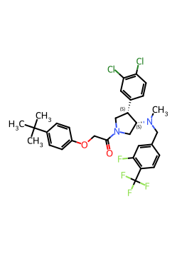 CN(Cc1ccc(C(F)(F)F)c(F)c1)[C@@H]1CN(C(=O)COc2ccc(C(C)(C)C)cc2)C[C@@H]1c1ccc(Cl)c(Cl)c1